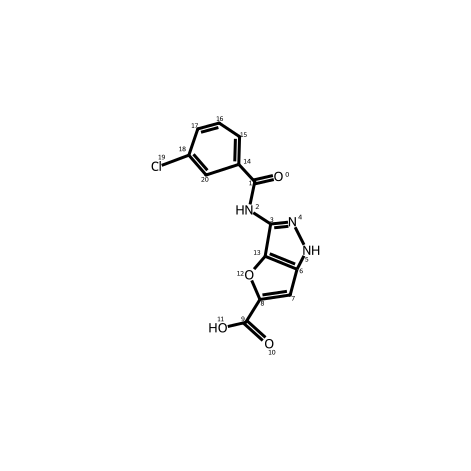 O=C(Nc1n[nH]c2cc(C(=O)O)oc12)c1cccc(Cl)c1